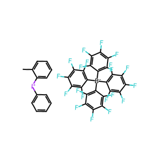 Cc1ccccc1[I+]c1ccccc1.Fc1c(F)c(F)c([B-](c2c(F)c(F)c(F)c(F)c2F)(c2c(F)c(F)c(F)c(F)c2F)c2c(F)c(F)c(F)c(F)c2F)c(F)c1F